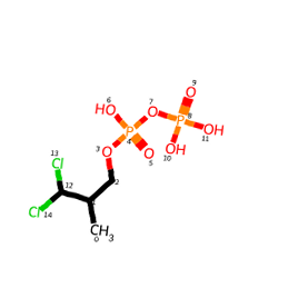 CC(COP(=O)(O)OP(=O)(O)O)C(Cl)Cl